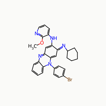 COc1ncccc1Nc1cc2nc3ccccc3n(-c3ccc(Br)cc3)c-2c/c1=N\C1CCCCC1